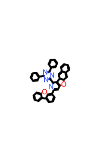 C1=c2ccccc2=CC2c3c(cc(-c4cccc5c4oc4ccccc45)nc3-c3nc(-c4ccccc4)nc(-c4ccccc4)n3)OC12